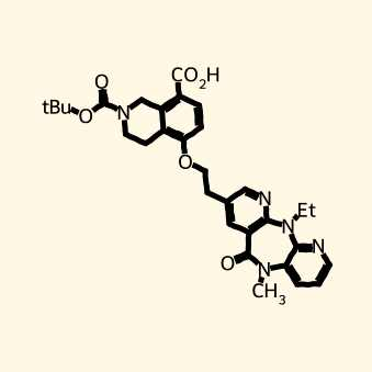 CCN1c2ncc(CCOc3ccc(C(=O)O)c4c3CCN(C(=O)OC(C)(C)C)C4)cc2C(=O)N(C)c2cccnc21